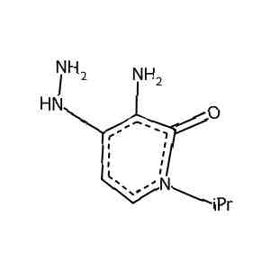 CC(C)n1ccc(NN)c(N)c1=O